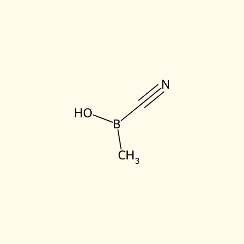 CB(O)C#N